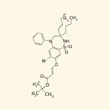 CCCCC1(CCCC)CN(c2ccccc2)c2cc(Br)c(O/C=C/C(=O)OC(C)(C)C)cc2S(=O)(=O)N1